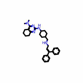 CN(C)c1nc(NC2CCC(CNCC=C(c3ccccc3)c3ccccc3)CC2)nc2c1CCCC2